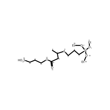 CCO[Si](CCCSC(C)CC(=O)OCCCS(=O)(=O)O)(OCC)OCC